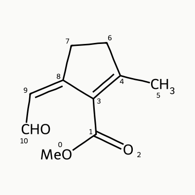 COC(=O)C1=C(C)CC/C1=C/C=O